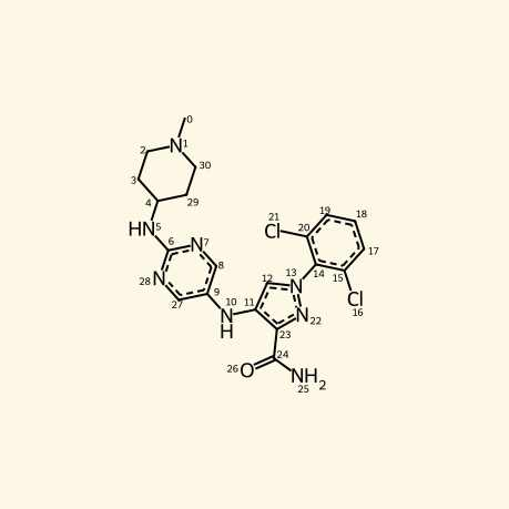 CN1CCC(Nc2ncc(Nc3cn(-c4c(Cl)cccc4Cl)nc3C(N)=O)cn2)CC1